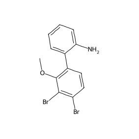 COc1c(-c2ccccc2N)ccc(Br)c1Br